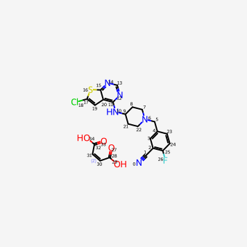 N#Cc1cc(CN2CCC(Nc3ncnc4sc(Cl)cc34)CC2)ccc1F.O=C(O)/C=C\C(=O)O